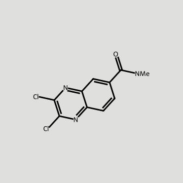 CNC(=O)c1ccc2nc(Cl)c(Cl)nc2c1